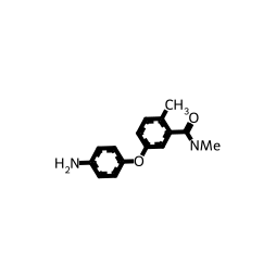 CNC(=O)c1cc(Oc2ccc(N)cc2)ccc1C